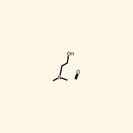 C=O.CN(C)CCO